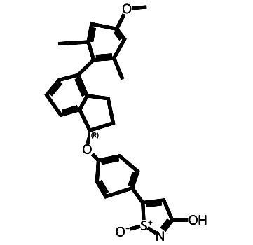 COc1cc(C)c(-c2cccc3c2CC[C@H]3Oc2ccc(-c3cc(O)n[s+]3[O-])cc2)c(C)c1